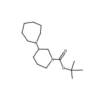 CC(C)(C)OC(=O)N1CCCC(N2CCCCCC2)C1